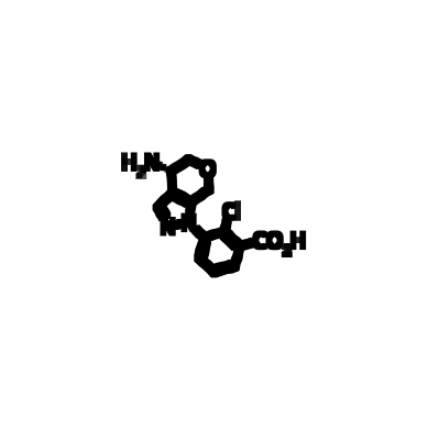 N[C@@H]1COCc2c1cnn2-c1cccc(C(=O)O)c1Cl